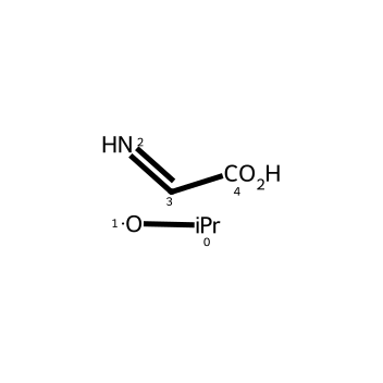 CC(C)[O].N=CC(=O)O